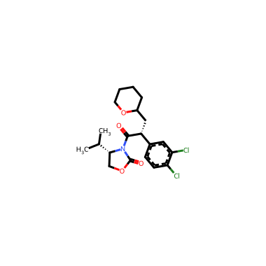 CC(C)[C@H]1COC(=O)N1C(=O)[C@H](CC1CCCCO1)c1ccc(Cl)c(Cl)c1